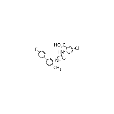 Cc1ccc(-c2ccc(F)cc2)cc1NCC(=O)Nc1ccc(Cl)cc1C(=O)O